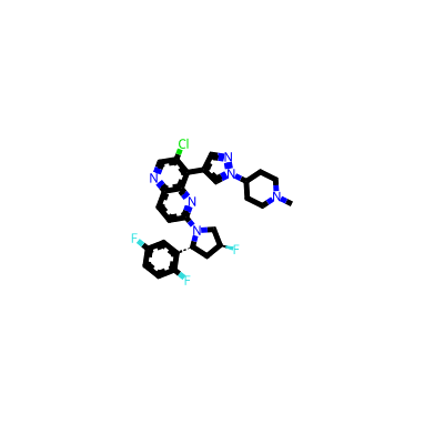 CN1CCC(n2cc(-c3c(Cl)cnc4ccc(N5C[C@@H](F)C[C@@H]5c5cc(F)ccc5F)nc34)cn2)CC1